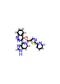 O=C(c1cnc(-c2ccccn2)s1)N1CCc2[nH]cnc2[C@@H]1c1cc2ccccc2nn1